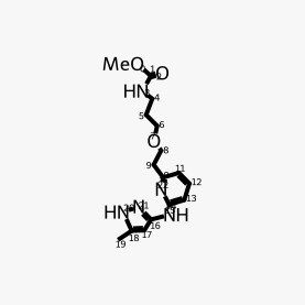 COC(=O)NCCCOCCc1cccc(Nc2cc(C)[nH]n2)n1